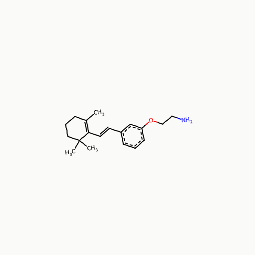 CC1=C(/C=C/c2cccc(OCCN)c2)C(C)(C)CCC1